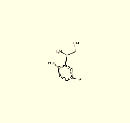 NC(CO)c1cc(F)ccc1O